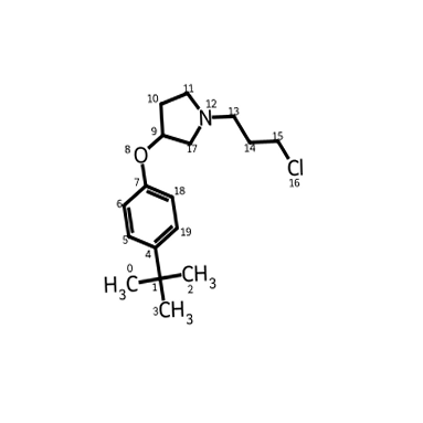 CC(C)(C)c1ccc(OC2CCN(CCCCl)C2)cc1